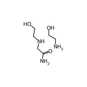 NC(=O)CNCCO.NCCO